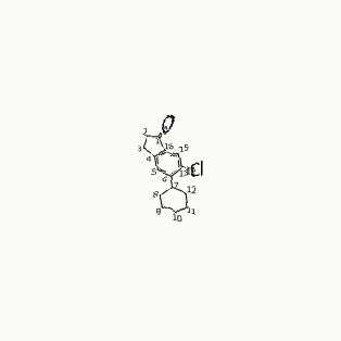 O=C1CCc2cc(C3CCCCC3)c(Cl)cc21